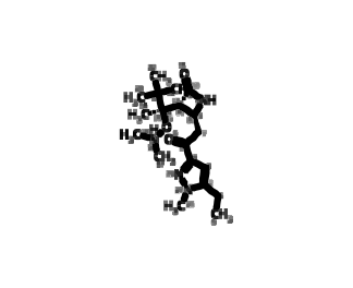 CCc1cc(C(=O)C[C@@H]2NC(=O)[C@H]2[C@@](C)(O[SiH](C)C)C(C)(C)C)nn1C